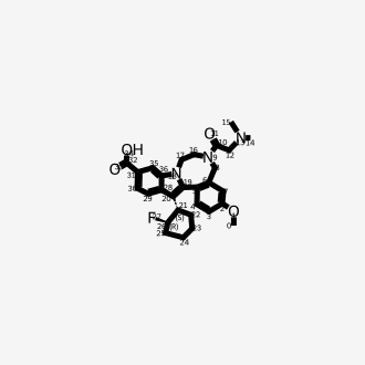 COc1ccc2c(c1)CN(C(=O)CN(C)C)CCn1c-2c([C@@H]2CCCC[C@H]2F)c2ccc(C(=O)O)cc21